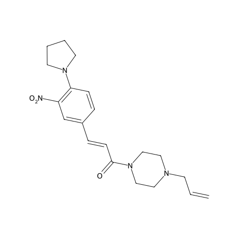 C=CCN1CCN(C(=O)C=Cc2ccc(N3CCCC3)c([N+](=O)[O-])c2)CC1